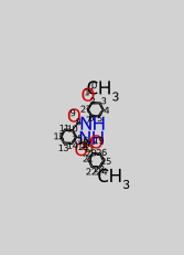 COc1cccc(NC(=O)c2ccccc2NS(=O)(=O)c2ccc(C)cc2)c1